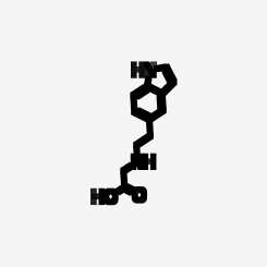 O=C(O)CNCCc1ccc2[nH]ccc2c1